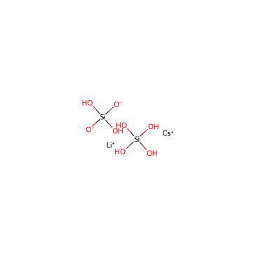 O[Si](O)(O)O.[Cs+].[Li+].[O-][Si]([O-])(O)O